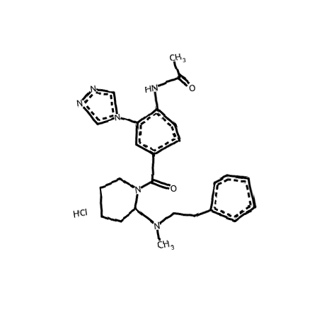 CC(=O)Nc1ccc(C(=O)N2CCCCC2N(C)CCc2ccccc2)cc1-n1cnnc1.Cl